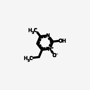 CCc1cc(C)nc(O)[n+]1[O-]